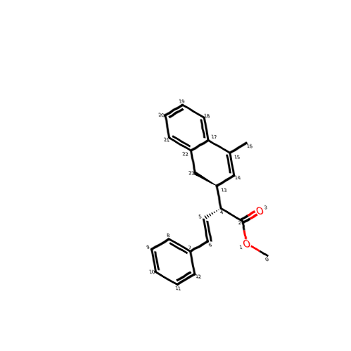 COC(=O)[C@H](C=Cc1ccccc1)[C@@H]1C=C(C)c2ccccc2C1